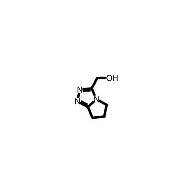 OCc1nnc2n1CCC2